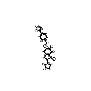 O=C1c2c(cc(OCc3ccc(-c4nn[nH]n4)cc3)c(Cl)c2Cl)CC1C1CCCC1